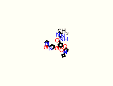 Cc1cnc(NC(=O)c2cc(Oc3ccc(C(=O)N4CCC4)nc3)cc(O[C@@H]3CCN(C4CCC4)C3=O)c2)cn1